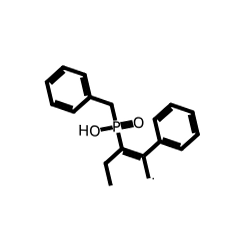 [CH2]/C(=C(\CC)P(=O)(O)Cc1ccccc1)c1ccccc1